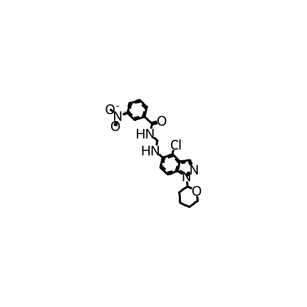 O=C(NCNc1ccc2c(cnn2C2CCCCO2)c1Cl)c1cccc([N+](=O)[O-])c1